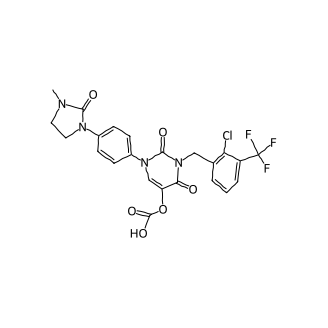 CN1CCN(c2ccc(-n3cc(OC(=O)O)c(=O)n(Cc4cccc(C(F)(F)F)c4Cl)c3=O)cc2)C1=O